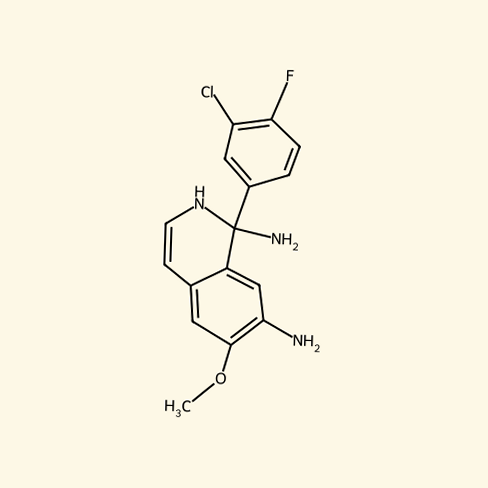 COc1cc2c(cc1N)C(N)(c1ccc(F)c(Cl)c1)NC=C2